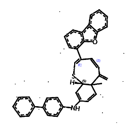 C=C1/C=C\C(c2cccc3c2oc2ccccc23)=C/S[C@H]2C=C(Nc3ccc(-c4ccccc4)cc3)C=CC12C